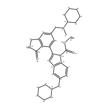 CN(Cc1cc2c(c(-c3cc4cc(CN5CCCCC5)ccc4n3C(=O)OC(C)(C)C)c1)C(=O)NC2)C1CCCCC1